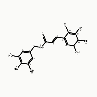 Oc1cc(CNC(=S)/C=C/C2=CC(O)C(O)C(Br)=C2Br)cc(O)c1O